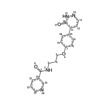 O=C(NCCCOc1ccc(-c2ccn[nH]c2=O)cc1)c1cccnc1